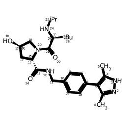 Cc1n[nH]c(C)c1-c1ccc(CNC(=O)[C@@H]2C[C@@H](O)CN2C(=O)[C@@H](NC(C)C)C(C)(C)C)cc1